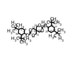 CC(C)(C)C1CCC(OP2OCC3(CO2)COP(OC2CCC(C(C)(C)C)CC2C(C)(C)C)OC3)C(C(C)(C)C)C1